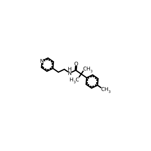 Cc1ccc(C(C)(C)C(=O)NCCc2ccncc2)cc1